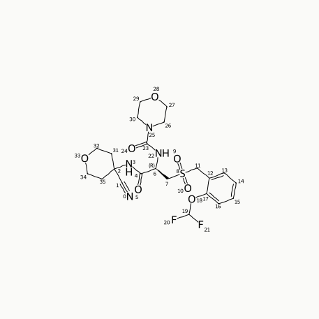 N#CC1(NC(=O)[C@H](CS(=O)(=O)Cc2ccccc2OC(F)F)NC(=O)N2CCOCC2)CCOCC1